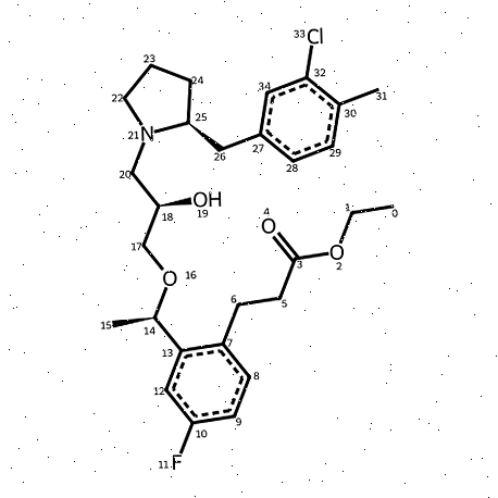 CCOC(=O)CCc1ccc(F)cc1[C@@H](C)OC[C@H](O)CN1CCC[C@H]1Cc1ccc(C)c(Cl)c1